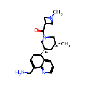 C[C@@H]1C[C@H](c2ccc(CN)c3ncccc23)CN(C(=O)C2CN(C)C2)C1